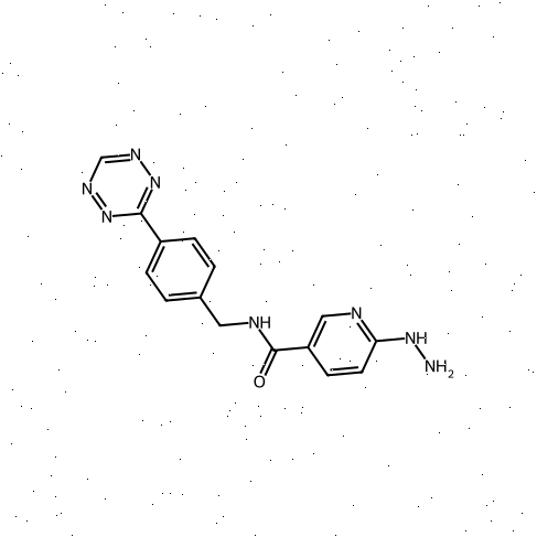 NNc1ccc(C(=O)NCc2ccc(-c3nncnn3)cc2)cn1